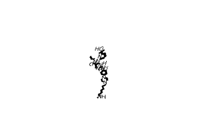 C=CCn1c(=O)c2cnc(Nc3ccc(N4CCN(CCCCCCNC)CC4)cc3)nc2n1-c1cccc(C(C)(C)O)n1.Cl